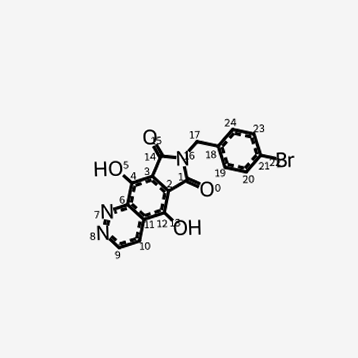 O=C1c2c(c(O)c3nnccc3c2O)C(=O)N1Cc1ccc(Br)cc1